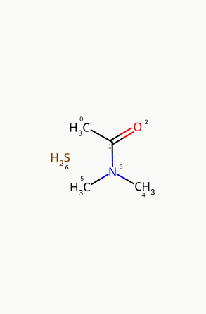 CC(=O)N(C)C.S